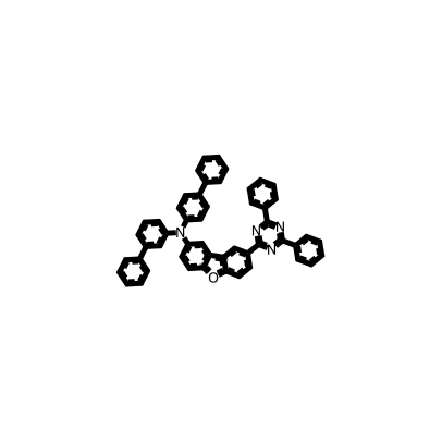 c1ccc(-c2ccc(N(c3cccc(-c4ccccc4)c3)c3ccc4oc5ccc(-c6nc(-c7ccccc7)nc(-c7ccccc7)n6)cc5c4c3)cc2)cc1